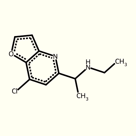 CCNC(C)c1cc(Cl)c2occc2n1